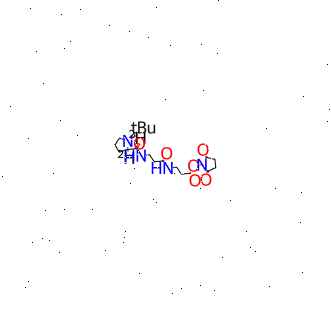 [2H]C(N1CCCC1([2H])C(=O)NCCC(=O)NCCC(=O)ON1C(=O)CCC1=O)C(C)(C)C